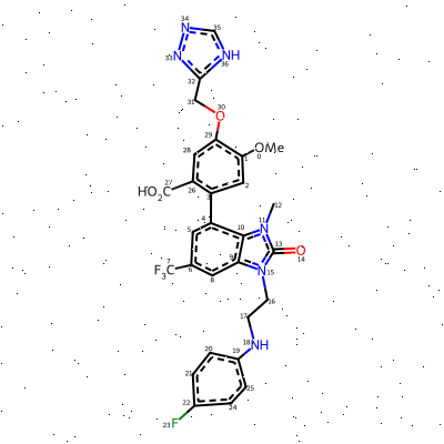 COc1cc(-c2cc(C(F)(F)F)cc3c2n(C)c(=O)n3CCNc2ccc(F)cc2)c(C(=O)O)cc1OCc1nnc[nH]1